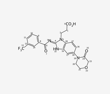 O=C(O)CCn1/c(=N/C(=O)c2cccc(C(F)(F)F)c2)[nH]c2cc(N3CCOCC3=O)ccc21